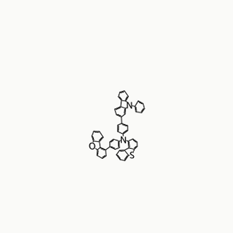 c1ccc(-n2c3ccccc3c3ccc(-c4ccc(N(c5ccc(-c6cccc7oc8ccccc8c67)cc5)c5cccc6sc7ccccc7c56)cc4)cc32)cc1